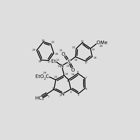 C#Cc1nc2ccccc2c(N(CC)S(=O)(=O)c2ccc(OC)cc2)c1C(=O)OCC.c1ccccc1